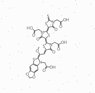 CO/C(C=c1s/c(=c2/s/c(=C3/SC(=S)N(CC(=O)O)C3=O)n(CC(=O)O)c2=O)n(CC(=O)O)c1=O)=C1\Sc2cc3c(cc2N1CC(=O)O)OCO3